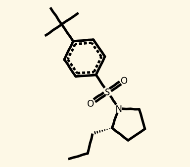 CCC[C@H]1CCCN1S(=O)(=O)c1ccc(C(C)(C)C)cc1